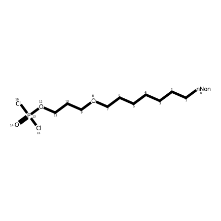 CCCCCCCCCCCCCCCCOCCCOP(=O)(Cl)Cl